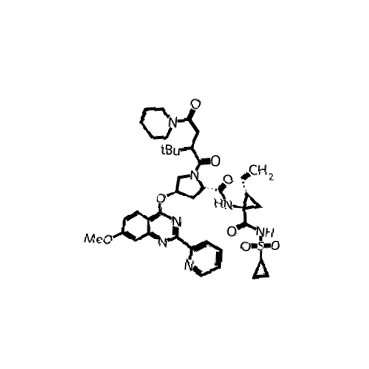 C=C[C@@H]1C[C@]1(NC(=O)[C@@H]1C[C@@H](Oc2nc(-c3ccccn3)nc3cc(OC)ccc23)CN1C(=O)C(CC(=O)N1CCCCC1)C(C)(C)C)C(=O)NS(=O)(=O)C1CC1